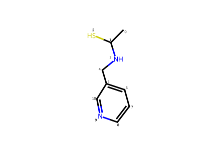 CC(S)NCc1cccnc1